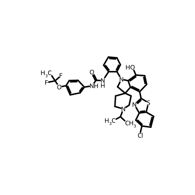 CC(C)N1CCC2(CC1)CN(c1ccccc1NC(=O)Nc1ccc(OC(C)(F)F)cc1)c1c(O)ccc(-c3nc4cc(Cl)ccc4s3)c12